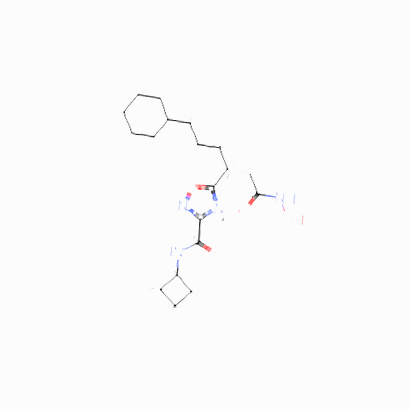 O=C(C[C@@H](CCCC1CCCCC1)c1nc(C(=O)NC2CCC2)no1)NO